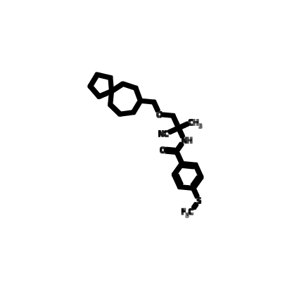 CC(C#N)(COCC1CCCC2(CCCC2)CC1)NC(=O)c1ccc(SC(F)(F)F)cc1